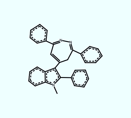 Cn1c(-c2ccccc2)c(C2=CC(c3ccccc3)=NN=C(c3ccccc3)C2)c2ccccc21